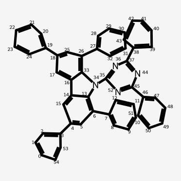 c1ccc(-c2cc(-c3ccccc3)c3c(c2)c2cc(-c4ccccc4)cc(-c4ccccc4)c2n3-c2nc(-c3ccccc3)nc(-c3ccccc3)n2)cc1